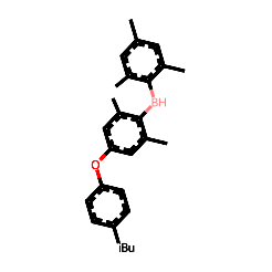 CCC(C)c1ccc(Oc2cc(C)c(Bc3c(C)cc(C)cc3C)c(C)c2)cc1